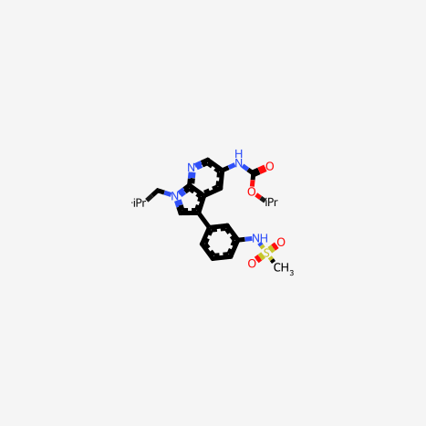 C[C](C)Cn1cc(-c2cccc(NS(C)(=O)=O)c2)c2cc(NC(=O)OC(C)C)cnc21